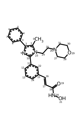 Cc1c(-c2ccccc2)nc(-c2cccc(C=CC(=O)NO)c2)n1CCN1CCOCC1